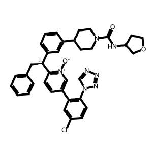 O=C(NC1CCOC1)N1CCC(c2cccc([C@H](Cc3ccccc3)c3ccc(-c4cc(Cl)ccc4-n4cnnn4)c[n+]3[O-])c2)CC1